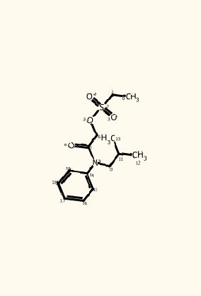 CCS(=O)(=O)OCC(=O)N(CC(C)C)c1ccccc1